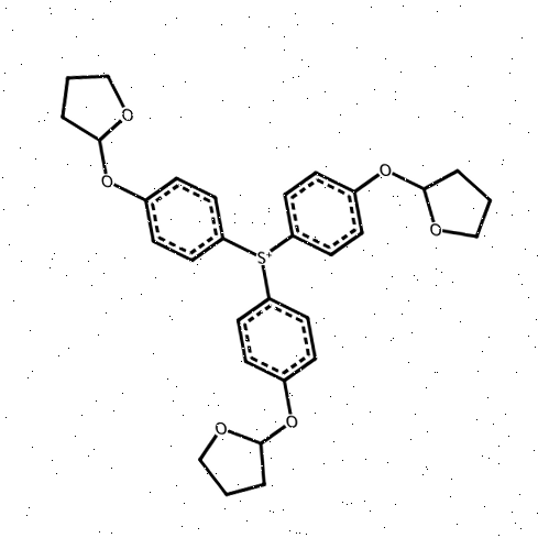 c1cc([S+](c2ccc(OC3CCCO3)cc2)c2ccc(OC3CCCO3)cc2)ccc1OC1CCCO1